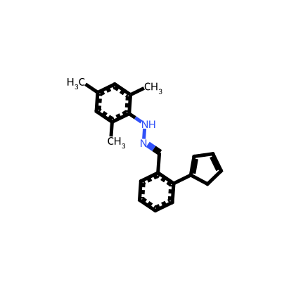 Cc1cc(C)c(N/N=C/c2ccccc2C2=CC=CC2)c(C)c1